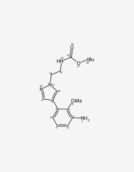 COc1c(N)cccc1-c1cnn(CCNC(=O)OC(C)(C)C)c1